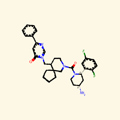 N[C@@H]1CCN(C(=O)N2CCC(Cn3cnc(-c4ccccc4)cc3=O)C3(CCCC3)C2)[C@H](c2cc(F)ccc2F)C1